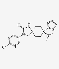 CN(C)[C@]1(c2cccs2)CC[C@]2(CC1)CN(c1cnc(Cl)nc1)C(=O)N2